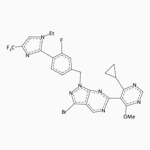 CCn1cc(C(F)(F)F)nc1-c1ccc(Cn2nc(Br)c3cnc(-c4c(OC)ncnc4C4CC4)nc32)cc1F